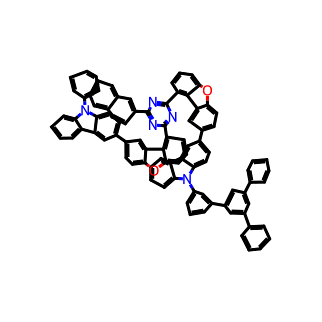 c1ccc(-c2cc(-c3ccccc3)cc(-c3cccc(-n4c5ccccc5c5cc(-c6ccc7oc8cccc(-c9nc(-c%10ccc%11ccccc%11c%10)nc(-c%10cccc%11oc%12ccc(-c%13ccc%14c(c%13)c%13ccccc%13n%14-c%13ccccc%13)cc%12c%10%11)n9)c8c7c6)ccc54)c3)c2)cc1